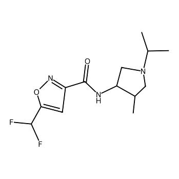 CC1CN(C(C)C)CC1NC(=O)c1cc(C(F)F)on1